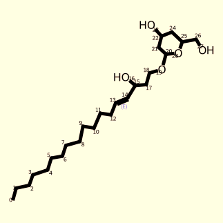 CCCCCCCCCCCCC/C=C/C(O)CCOC1CC(O)CC(CO)O1